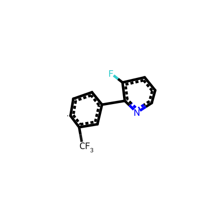 Fc1cccnc1-c1cc[c]c(C(F)(F)F)c1